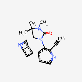 C#Cc1ncccc1N1CC(C)(C)N(C)C1=O.c1cc2ncc1-2